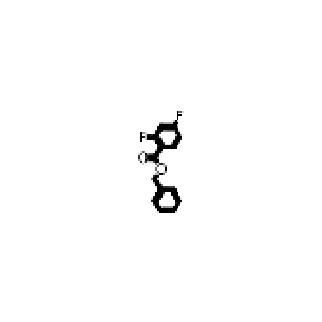 O=C(OCc1ccccc1)c1ccc(F)cc1F